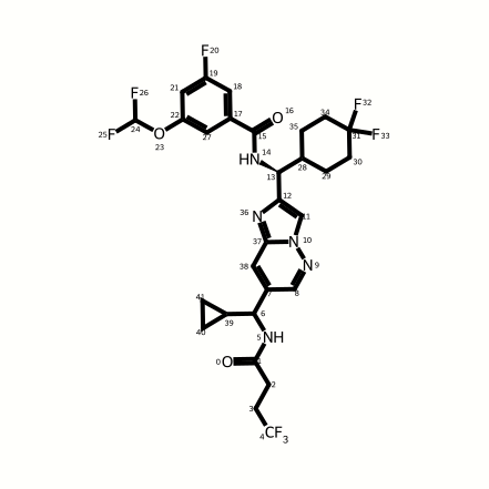 O=C(CCC(F)(F)F)NC(c1cnn2cc([C@@H](NC(=O)c3cc(F)cc(OC(F)F)c3)C3CCC(F)(F)CC3)nc2c1)C1CC1